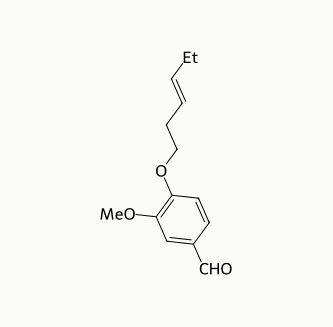 CCC=CCCOc1ccc(C=O)cc1OC